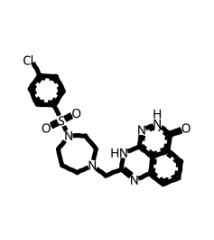 O=c1[nH]nc2c3c(cccc13)N=C(CN1CCCN(S(=O)(=O)c3ccc(Cl)cc3)CC1)N2